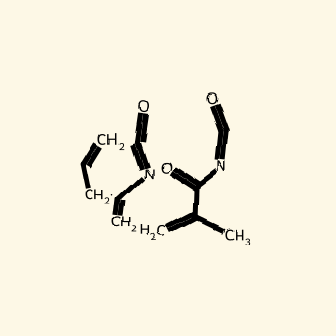 C=C(C)C(=O)N=C=O.C=CN=C=O.[CH2]C=C